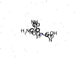 N#Cc1cc(/C=C/C(c2ccc(-n3ccc(N)nc3=O)c(-n3ccc(N)nc3=O)c2)C(F)(F)F)ccc1C(=O)O